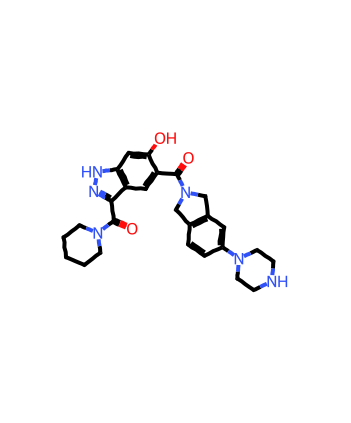 O=C(c1cc2c(C(=O)N3CCCCC3)n[nH]c2cc1O)N1Cc2ccc(N3CCNCC3)cc2C1